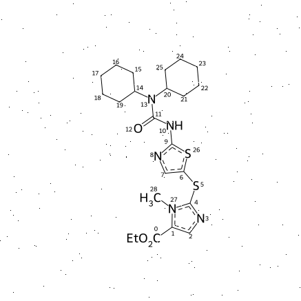 CCOC(=O)c1cnc(Sc2cnc(NC(=O)N(C3CCCCC3)C3CCCCC3)s2)n1C